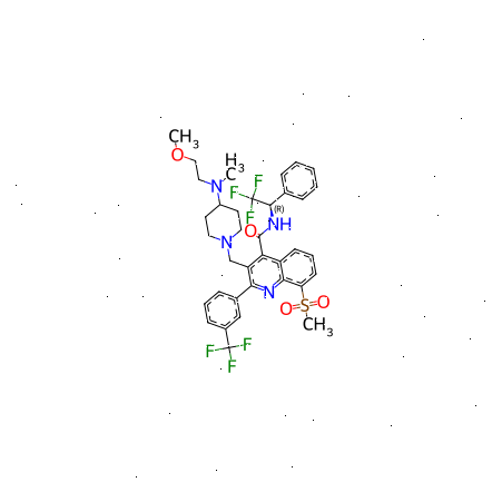 COCCN(C)C1CCN(Cc2c(-c3cccc(C(F)(F)F)c3)nc3c(S(C)(=O)=O)cccc3c2C(=O)N[C@H](c2ccccc2)C(F)(F)F)CC1